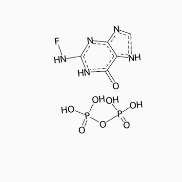 O=P(O)(O)OP(=O)(O)O.O=c1[nH]c(NF)nc2nc[nH]c12